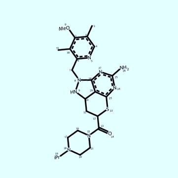 COc1c(C)cnc(CN2NC3CC(C(=O)N4CCN(C(C)C)CC4)Sc4nc(N)nc2c43)c1C